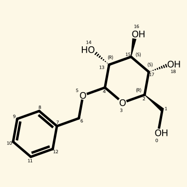 OC[C@H]1OC(OCc2ccccc2)[C@H](O)[C@@H](O)[C@@H]1O